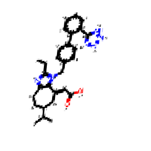 CCc1nc2c(n1Cc1ccc(-c3ccccc3-c3nnn[nH]3)cc1)C(=CC(=O)O)CC(C(C)C)CC2